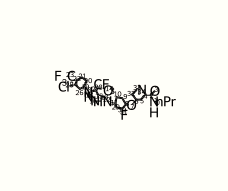 CCCNC(=O)c1cc(Oc2ccc(NC(=O)c3nnn(-c4ccc(C(F)(F)F)c(Cl)c4)c3C(F)(F)F)cc2F)ccn1